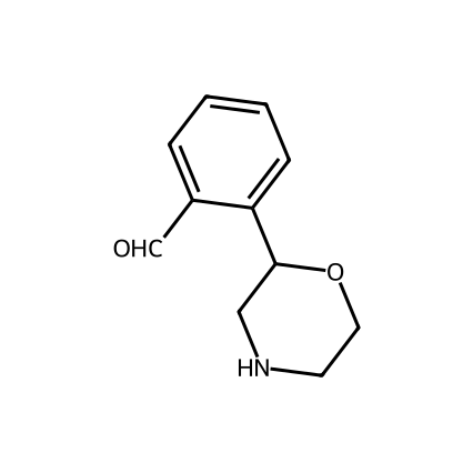 O=Cc1ccccc1C1CNCCO1